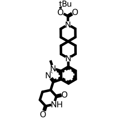 Cn1nc(C2CCC(=O)NC2=O)c2cccc(N3CCC4(CCN(C(=O)OC(C)(C)C)CC4)CC3)c21